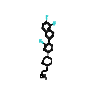 CCC[C@H]1CC[C@H](c2ccc(-c3ccc4c(F)c(F)ccc4c3)c(F)c2)CC1